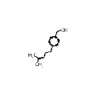 CC(C)=CCCc1ccc(CO)cc1